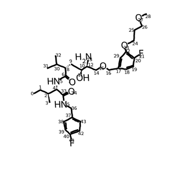 CC[C@H](C)[C@H](NC(=O)[C@@H](C[C@H](O)[C@@H](N)COCc1ccc(F)c(OCCCOC)c1)C(C)C)C(=O)NCc1ccc(F)cc1